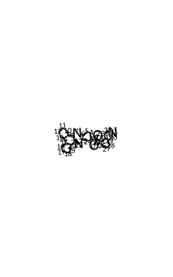 O=S(=O)(c1ccc2nc3c4ccccc4c4ccccc4c3nc2c1)c1cccc2cnccc12